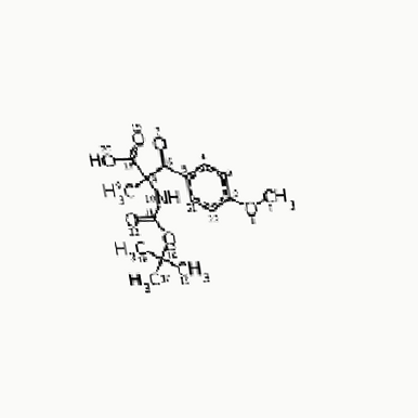 COc1ccc(C(=O)C(C)(NC(=O)OC(C)(C)C)C(=O)O)cc1